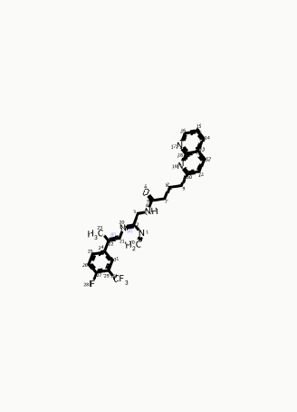 C=N/C(CNC(=O)CCCc1ccc2cccnc2n1)=N\C=C(/C)c1ccc(F)c(C(F)(F)F)c1